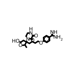 CC(C)C(CCCCOc1ccc(C(=N)N)cc1)(CC(=O)O)N1CCNC(=O)C1=O